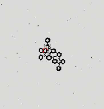 N#Cc1c(-c2ccc(-c3nc(-c4ccccc4)nc(-c4ccccc4)n3)c(N3c4ccccc4N(c4ccccc4)c4ccccc43)c2)cccc1N1c2ccccc2N(c2ccccc2)c2ccccc21